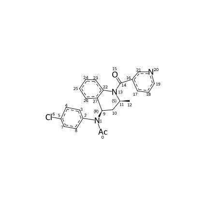 CC(=O)N(c1ccc(Cl)cc1)[C@@H]1C[C@H](C)N(C(=O)c2cccnc2)c2ccccc21